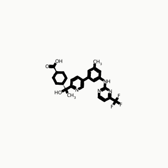 Cc1cc(Nc2nccc(C(F)(F)F)n2)cc(-c2ccc(C(C)(O)[C@H]3CC[C@H](C(=O)O)CC3)nc2)c1